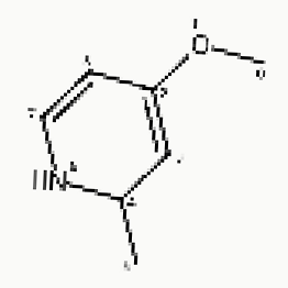 COC1=CC(C)NC=C1